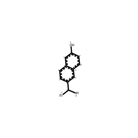 CCC(c1ccc2cc(O)ccc2c1)C(C)C